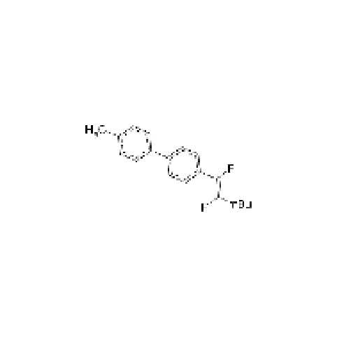 CCCCC(F)=C(F)c1ccc(-c2ccc(C)cc2)cc1